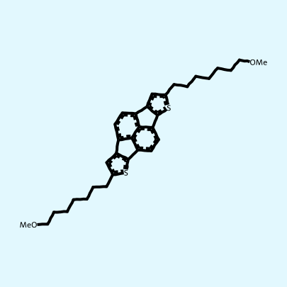 COCCCCCCCc1cc2c(s1)-c1ccc3c4c(ccc-2c14)-c1cc(CCCCCCCOC)sc1-3